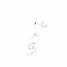 C=N[C@@]1(c2ccc3c(N)ncnn23)O[C@H](COP(=O)(O)OC[C@@H](CC#CCCCCCCCCCCCCCC)OCc2ccccc2)[C@@H](O)[C@H]1O